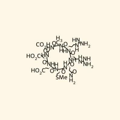 CSCC[C@@H]1NC(=O)[C@H](CCC(=O)O)NC(=O)[C@H](CCC(=O)O)NC(=O)[C@H](CC(=O)O)NC(=O)[C@H](C)NC(=O)[C@H](CCCNC(=N)N)NC(=O)[C@H](CCCNC(=N)N)NC(=O)[C@H](CCC(N)=O)NC1=O